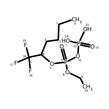 CCCCC(OP(=O)(OCC)OP(=O)(O)O)C(F)(F)F